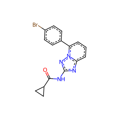 O=C(Nc1nc2cccc(-c3ccc(Br)cc3)n2n1)C1CC1